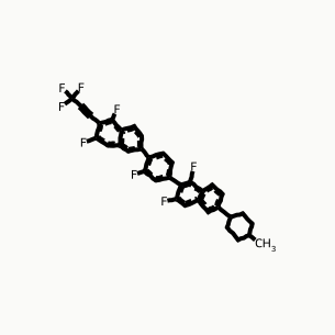 CC1CCC(c2ccc3c(F)c(-c4ccc(-c5ccc6c(F)c(C#CC(F)(F)F)c(F)cc6c5)c(F)c4)c(F)cc3c2)CC1